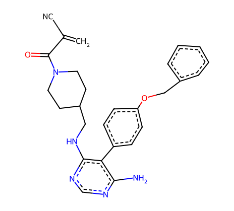 C=C(C#N)C(=O)N1CCC(CNc2ncnc(N)c2-c2ccc(OCc3ccccc3)cc2)CC1